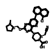 CN1CCC[C@H]1COc1nc(N2CCN(C(=O)O)[C@@H](CC#N)C2)c2ncc(-c3cccc4cccc(Cl)c34)cc2n1